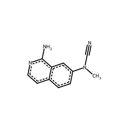 CN(C#N)c1ccc2ccnc(N)c2c1